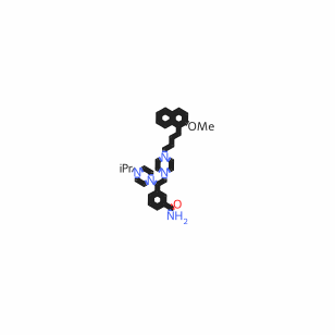 COc1ccc2ccccc2c1CCCCN1CCN(CC(c2cccc(C(N)=O)c2)N2CCN(C(C)C)CC2)CC1